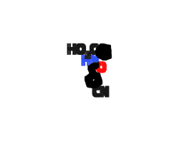 N#Cc1ccc(CC(=O)Nc2ccccc2C(=O)O)cc1